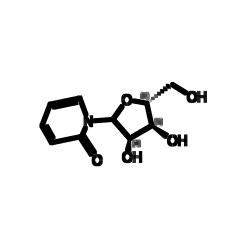 O=c1ccccn1C1O[C@H](CO)[C@@H](O)[C@H]1O